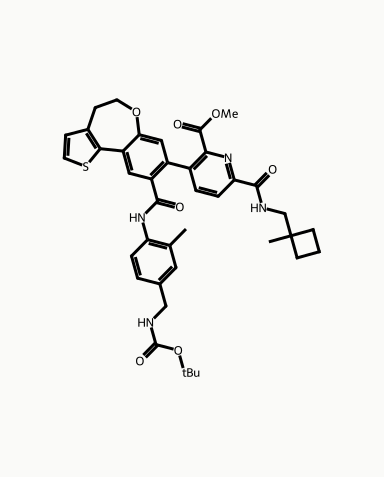 COC(=O)c1nc(C(=O)NCC2(C)CCC2)ccc1-c1cc2c(cc1C(=O)Nc1ccc(CNC(=O)OC(C)(C)C)cc1C)-c1sccc1CCO2